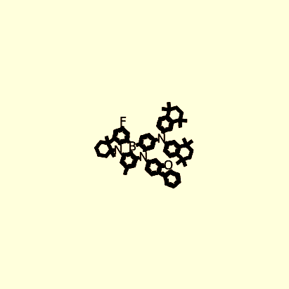 Cc1cc2c3c(c1)N1c4c(cc(F)cc4C4(C)CCCCC14C)B3c1ccc(N(c3ccc4c(c3)C(C)(C)CCC4(C)C)c3ccc4c(c3)C(C)(C)CCC4(C)C)cc1N2c1ccc2c(c1)oc1ccccc12